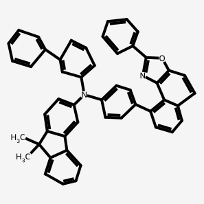 CC1(C)c2ccccc2-c2cc(N(c3ccc(-c4cccc5ccc6oc(-c7ccccc7)nc6c45)cc3)c3cccc(-c4ccccc4)c3)ccc21